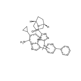 CN(C)c1nnc(C(=O)N2[C@@H]3CC[C@H]2C[C@@H](c2nc4c(-c5ccc(-c6ccccc6)nc5)cnn4c(N)c2C2CC2)C3)[nH]1